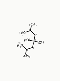 CC(C)C[Si](O)(O)CC(C)N